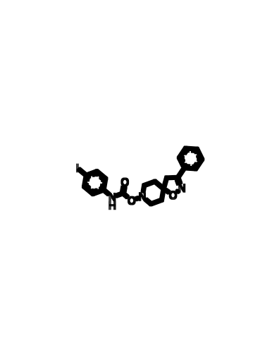 O=C(Nc1ccc(I)cc1)ON1CCC2(CC1)CC(c1ccccc1)=NO2